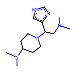 CN(C)CC(c1c[nH]cn1)N1CCC(N(C)C)CC1